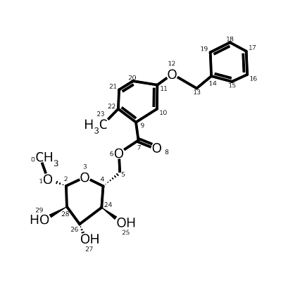 CO[C@@H]1O[C@H](COC(=O)c2cc(OCc3ccccc3)ccc2C)[C@@H](O)[C@H](O)[C@H]1O